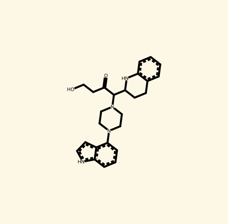 O=C(CCO)C(C1CCc2ccccc2N1)N1CCN(c2cccc3[nH]ccc23)CC1